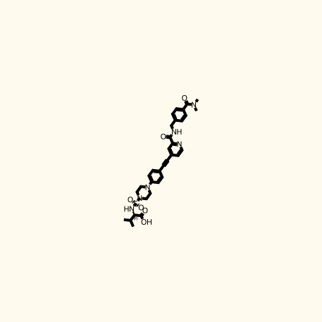 CC(C)[C@@H](NS(=O)(=O)N1CCN(c2ccc(C#Cc3ccnc(C(=O)NCc4ccc(C(=O)N(C)C)cc4)c3)cc2)CC1)C(=O)O